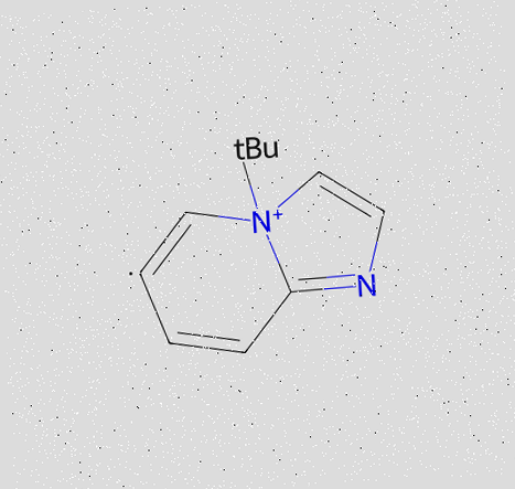 CC(C)(C)[N+]12C=[C]C=CC1=NC=C2